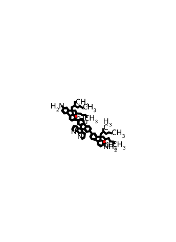 CCCCC(CC)CC1(CC(CC)CCCC)c2cc(N)ccc2-c2ccc(-c3ccc4c(c3)C3(c5cc(-c6ccc7c(c6)C(CC(CC)CCCC)(CC(CC)CCCC)c6cc(N)ccc6-7)ccc5-4)c4cccnc4-c4ncccc43)cc21